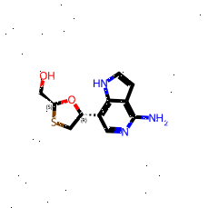 Nc1ncc([C@@H]2CS[C@@H](CO)O2)c2[nH]ccc12